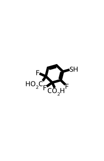 O=C(O)C1(F)C=CC(S)=C(F)C1(F)C(=O)O